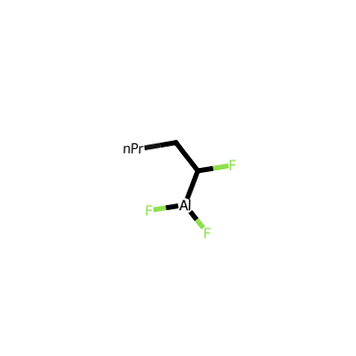 CCCC[CH](F)[Al]([F])[F]